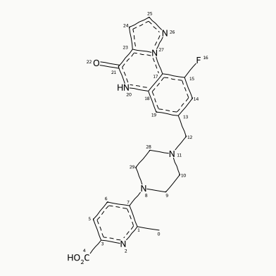 Cc1nc(C(=O)O)ccc1N1CCN(Cc2cc(F)c3c(c2)[nH]c(=O)c2ccnn23)CC1